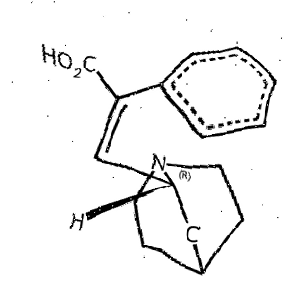 O=C(O)C(=C[C@H]1CC2CCN1CC2)c1ccccc1